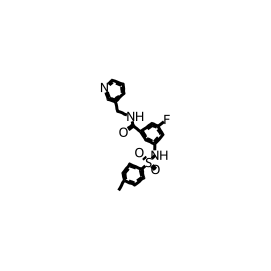 Cc1ccc(S(=O)(=O)Nc2cc(F)cc(C(=O)NCc3cccnc3)c2)cc1